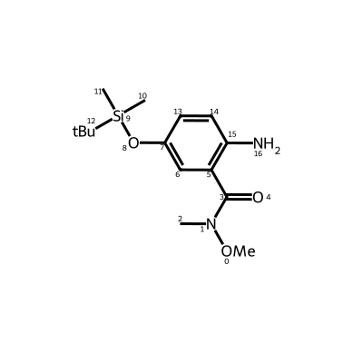 CON(C)C(=O)c1cc(O[Si](C)(C)C(C)(C)C)ccc1N